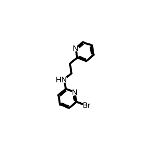 Brc1cccc(NCCc2ccccn2)n1